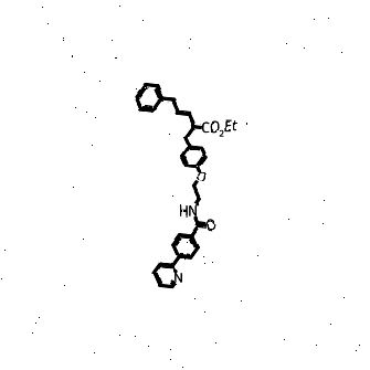 CCOC(=O)C(CCCc1ccccc1)Cc1ccc(OCCNC(=O)c2ccc(-c3ccccn3)cc2)cc1